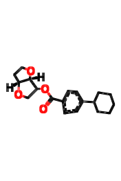 O=C(OC1CO[C@@H]2CCO[C@H]12)c1ccc(C2CCCCC2)cc1